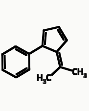 CC(C)=C1C=CC=C1c1ccccc1